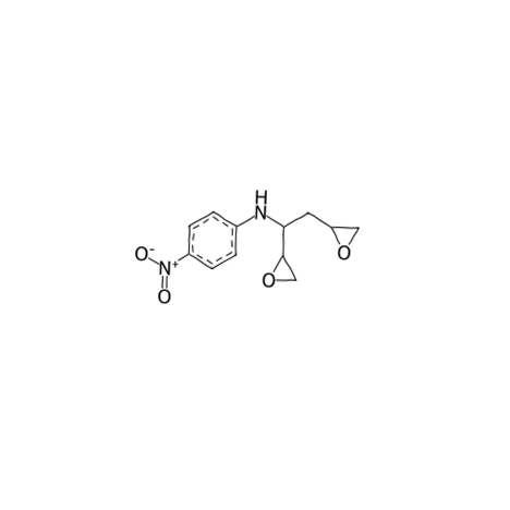 O=[N+]([O-])c1ccc(NC(CC2CO2)C2CO2)cc1